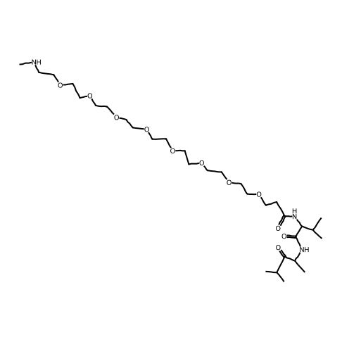 CNCCOCCOCCOCCOCCOCCOCCOCCOCCC(=O)NC(C(=O)NC(C)C(=O)C(C)C)C(C)C